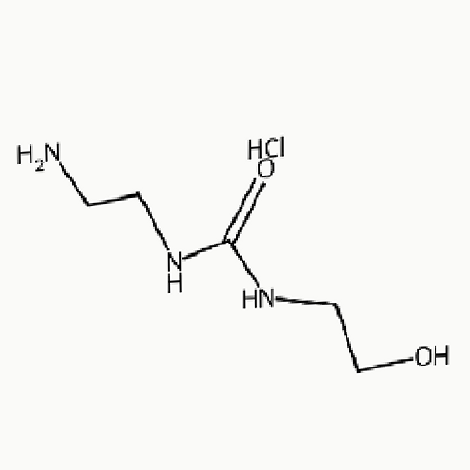 Cl.NCCNC(=O)NCCO